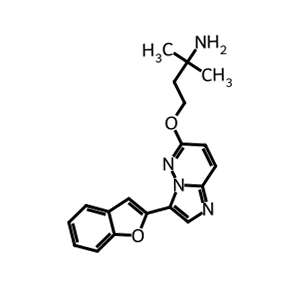 CC(C)(N)CCOc1ccc2ncc(-c3cc4ccccc4o3)n2n1